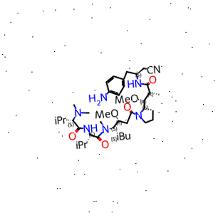 CC[C@H](C)[C@@H]([C@@H](CC(=O)N1CCC[C@H]1[C@H](OC)[C@@H](C)C(=O)N[C@H](CC#N)Cc1ccc(N)cc1)OC)N(C)C(=O)[C@@H](NC(=O)[C@H](C(C)C)N(C)C)C(C)C